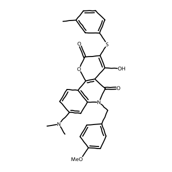 COc1ccc(Cn2c(=O)c3c(O)c(Sc4cccc(C)c4)c(=O)oc3c3ccc(N(C)C)cc32)cc1